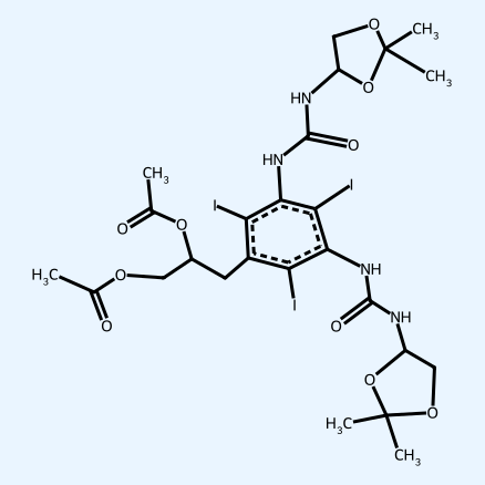 CC(=O)OCC(Cc1c(I)c(NC(=O)NC2COC(C)(C)O2)c(I)c(NC(=O)NC2COC(C)(C)O2)c1I)OC(C)=O